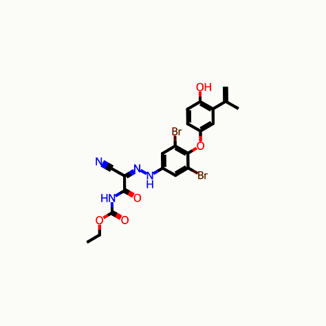 C=C(C)c1cc(Oc2c(Br)cc(NN=C(C#N)C(=O)NC(=O)OCC)cc2Br)ccc1O